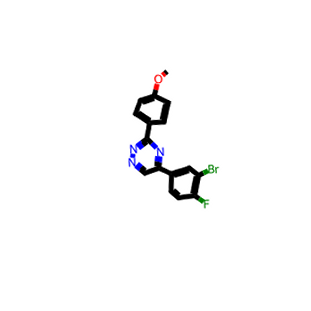 COc1ccc(-c2nncc(-c3ccc(F)c(Br)c3)n2)cc1